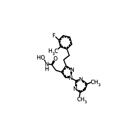 Cc1cc(C)nc(-n2cc(CC(=O)NO)c(CCc3cccc(F)c3C)n2)n1